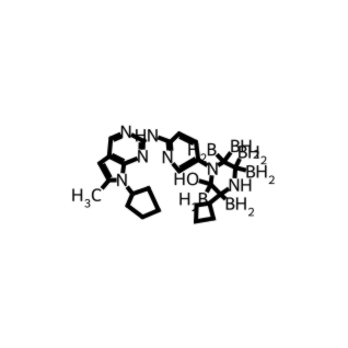 BC1(B)NC(B)(C2CCC2)C(B)(O)N(c2ccc(Nc3ncc4cc(C)n(C5CCCC5)c4n3)nc2)C1(B)B